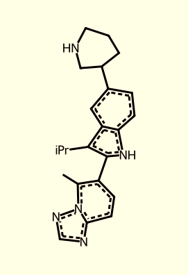 Cc1c(-c2[nH]c3ccc(C4CCCNC4)cc3c2C(C)C)ccc2ncnn12